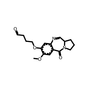 COc1cc2c(cc1OCCCC=O)N=CC1CCCN1C2=O